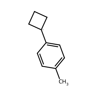 Cc1ccc([C]2CCC2)cc1